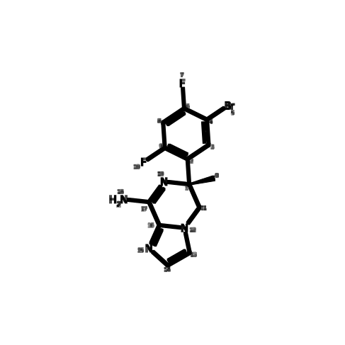 C[C@@]1(c2cc(Br)c(F)cc2F)Cn2ccnc2C(N)=N1